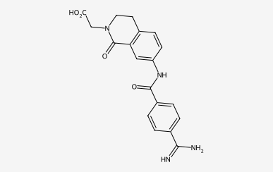 N=C(N)c1ccc(C(=O)Nc2ccc3c(c2)C(=O)N(CC(=O)O)CC3)cc1